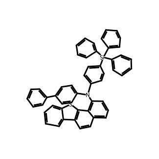 c1ccc(-c2ccc(N(c3ccc([Si](c4ccccc4)(c4ccccc4)c4ccccc4)cc3)c3cccc4ccc5c6ccccc6sc5c34)cc2)cc1